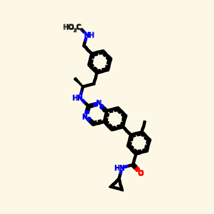 Cc1ccc(C(=O)NC2CC2)cc1-c1ccc2nc(N[C@@H](C)Cc3cccc(CNC(=O)O)c3)ncc2c1